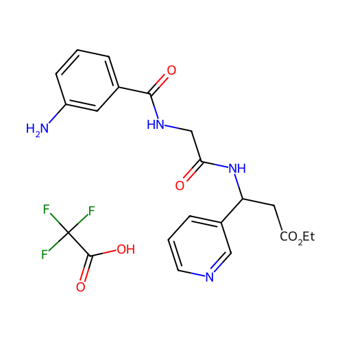 CCOC(=O)CC(NC(=O)CNC(=O)c1cccc(N)c1)c1cccnc1.O=C(O)C(F)(F)F